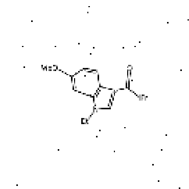 CCn1cc(C(=O)C(C)C)c2ccc(OC)cc21